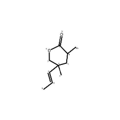 C/C=C/C1(C)COC(=O)C(C)C1